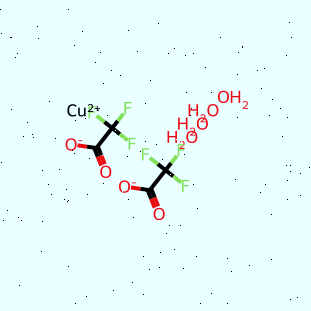 O.O.O.O.O=C([O-])C(F)(F)F.O=C([O-])C(F)(F)F.[Cu+2]